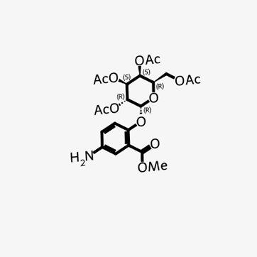 COC(=O)c1cc(N)ccc1O[C@H]1O[C@H](COC(C)=O)[C@H](OC(C)=O)[C@H](OC(C)=O)[C@H]1OC(C)=O